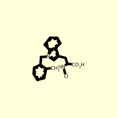 Cc1ccccc1Cn1cc(CC(NCl)C(=O)O)c2ccccc21